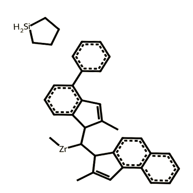 C1CC[SiH2]C1.[CH3][Zr][CH](C1C(C)=Cc2c(-c3ccccc3)cccc21)C1C(C)=Cc2c1ccc1ccccc21